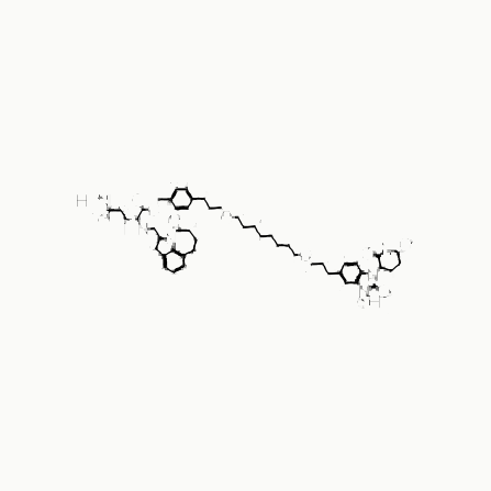 C[C@@H](OCc1ccc(CCCOCCCCCCCCOCCCc2ccc3c(c2)n(C)c(=O)n3C2CCC(=O)NC2=O)cc1)[C@H](CCC(N)=O)NCC1Cc2cccc3c2N1C(=O)CCC3